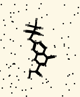 COC(=O)c1cc(=O)c2ccc(OS(=O)(=O)C(F)(F)F)cc2o1